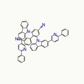 N#Cc1cccc(-c2c(-n3c4ccccc4c4ccc(-c5ccc(-c6ccccc6)nc5)cc43)cc(C#N)cc2-n2c3ccccc3c3ccc(-c4ccc(-c5ccccc5)nc4)cc32)c1